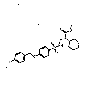 COC(=O)[C@H](CNS(=O)(=O)c1ccc(OCc2ccc(F)cc2)cc1)N1CCCCC1